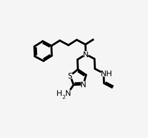 C=CNCCN(Cc1cnc(N)s1)C(C)CCCc1ccccc1